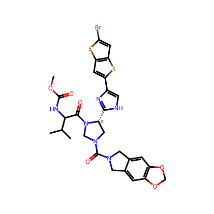 COC(=O)NC(C(=O)N1CN(C(=O)N2Cc3cc4c(cc3C2)OCO4)C[C@H]1c1nc(-c2cc3sc(Br)cc3s2)c[nH]1)C(C)C